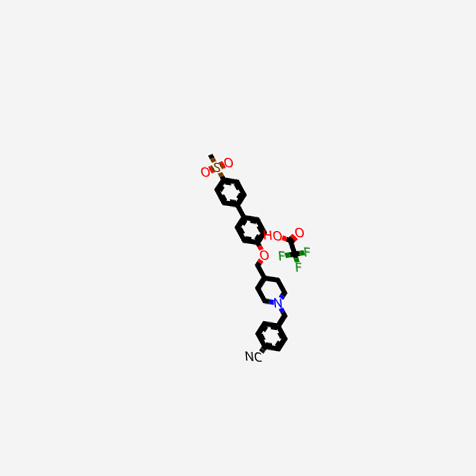 CS(=O)(=O)c1ccc(-c2ccc(OCC3CCN(Cc4ccc(C#N)cc4)CC3)cc2)cc1.O=C(O)C(F)(F)F